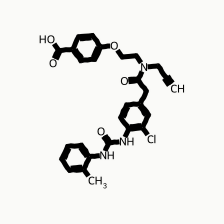 C#CCN(CCOc1ccc(C(=O)O)cc1)C(=O)Cc1ccc(NC(=O)Nc2ccccc2C)c(Cl)c1